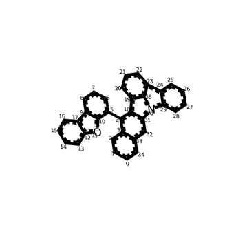 c1ccc2c(-c3cccc4c3oc3ccccc34)c3c4cccc5c6ccccc6n(c3cc2c1)c54